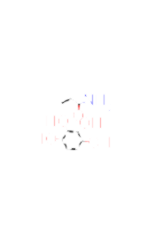 C=CC(N)=O.Oc1ccc(O)c(O)c1O